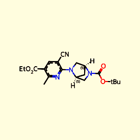 CCOC(=O)c1cc(C#N)c(N2C[C@@H]3C[C@H]2CN3C(=O)OC(C)(C)C)nc1C